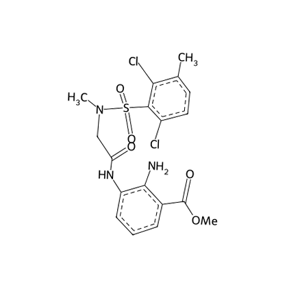 COC(=O)c1cccc(NC(=O)CN(C)S(=O)(=O)c2c(Cl)ccc(C)c2Cl)c1N